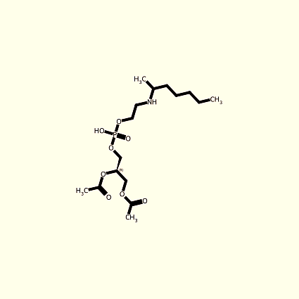 CCCCCC(C)NCCOP(=O)(O)OC[C@@H](COC(C)=O)OC(C)=O